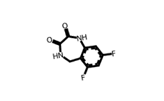 O=C1NCc2c(F)cc(F)cc2NC1=O